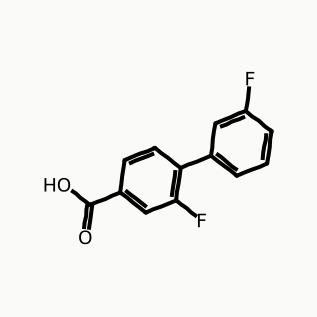 O=C(O)c1ccc(-c2cccc(F)c2)c(F)c1